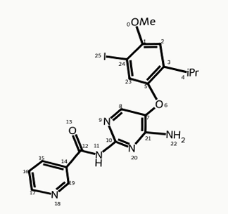 COc1cc(C(C)C)c(Oc2cnc(NC(=O)c3cccnc3)nc2N)cc1I